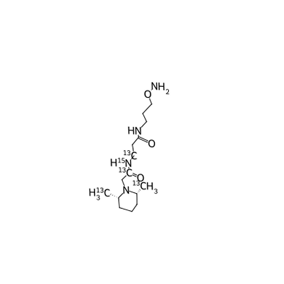 [13CH3][C@@H]1CCC[C@H]([13CH3])N1C[13C](=O)[15NH][13CH2]CC(=O)NCCCON